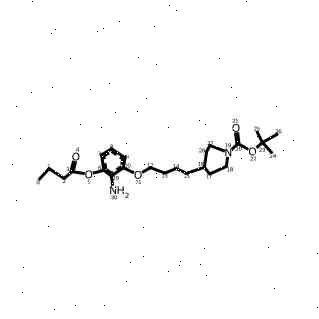 CCCC(=O)Oc1cccc(OCCCCC2CCN(C(=O)OC(C)(C)C)CC2)c1N